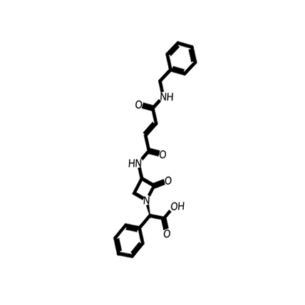 O=C(/C=C/C(=O)NC1CN([C@@H](C(=O)O)c2ccccc2)C1=O)NCc1ccccc1